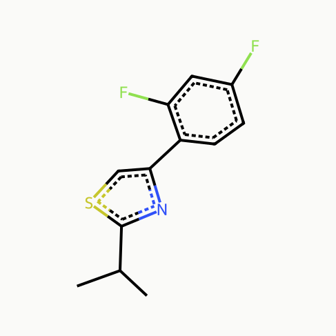 CC(C)c1nc(-c2ccc(F)cc2F)cs1